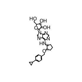 OCC1O[C@@H](n2cnc3c(N[C@@H]4CCC[C@H]4OCc4ccc(C5CC5)cc4)ncnc32)[C@H](O)[C@@H]1O